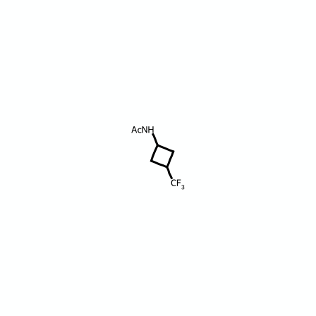 CC(=O)NC1CC(C(F)(F)F)C1